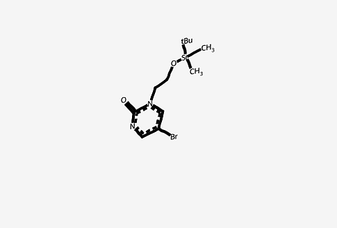 CC(C)(C)[Si](C)(C)OCCn1cc(Br)cnc1=O